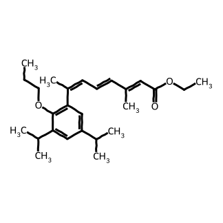 CCCOc1c(\C(C)=C/C=C/C(C)=C/C(=O)OCC)cc(C(C)C)cc1C(C)C